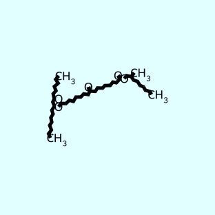 CCCCCCCCC(CCCCCCCC)OC(=O)CCCCCCCC(=O)CCCCCCCC(=O)OCC(C)CCCCCCC